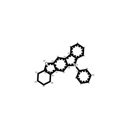 c1ccc(-n2c3ccccc3c3cc4oc5c(c4cc32)CCCC5)cc1